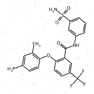 Cc1cc(P)ccc1Oc1ccc(C(F)(F)F)cc1C(=O)Nc1cccc(S(N)(=O)=O)c1